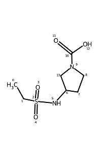 CCS(=O)(=O)NC1CCN(C(=O)O)C1